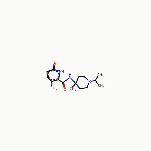 Cc1ccc(=O)[nH]c1C(=O)NC1(C)CCN(C(C)C)CC1